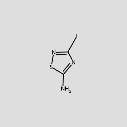 Nc1nc(I)ns1